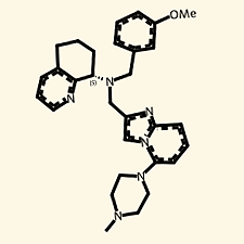 COc1cccc(CN(Cc2cn3c(N4CCN(C)CC4)cccc3n2)[C@H]2CCCc3cccnc32)c1